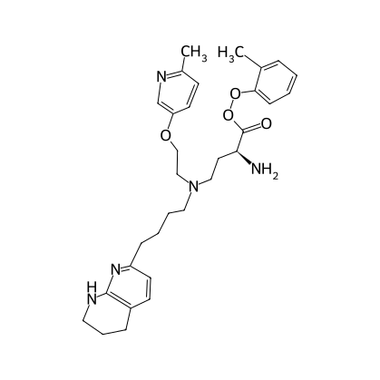 Cc1ccc(OCCN(CCCCc2ccc3c(n2)NCCC3)CC[C@H](N)C(=O)OOc2ccccc2C)cn1